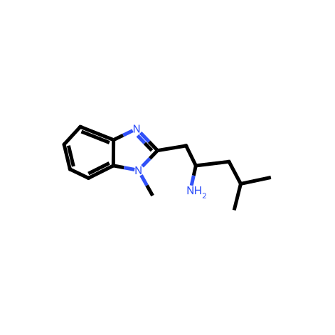 CC(C)CC(N)Cc1nc2ccccc2n1C